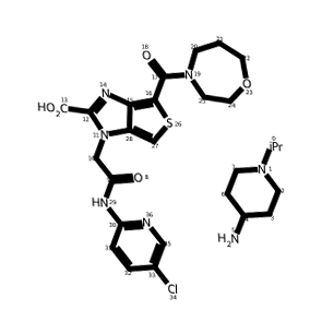 CC(C)N1CCC(N)CC1.O=C(Cn1c(C(=O)O)nc2c(C(=O)N3CCCOCC3)scc21)Nc1ccc(Cl)cn1